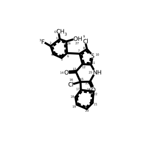 Cc1c(F)ccc(-c2c(Cl)sc3c2C(=O)C(Cl)(c2ccccc2)C(=O)N3)c1O